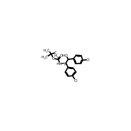 CC(C)(C)OC(=O)N[C@H](c1ccc(Cl)cc1)C(O)c1ccc(Cl)cc1